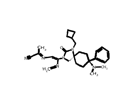 C=N/C(=C\N=C(/C)C#N)N1C[C@]2(CC[C@](c3ccccc3)(N(C)C)CC2)N(CC2CCC2)C1=O